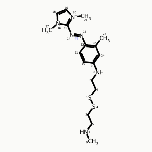 CNCCSSCCNc1ccc(/N=N/c2n(C)cc[n+]2C)c(C)c1